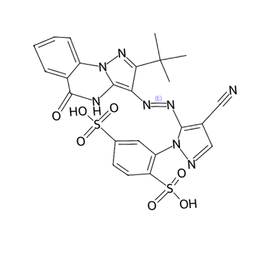 CC(C)(C)c1nn2c([nH]c(=O)c3ccccc32)c1/N=N/c1c(C#N)cnn1-c1cc(S(=O)(=O)O)ccc1S(=O)(=O)O